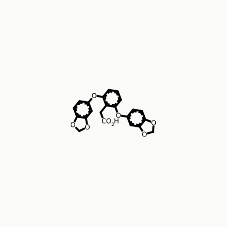 O=C(O)Cc1c(Oc2ccc3c(c2)OCO3)cccc1Oc1ccc2c(c1)OCO2